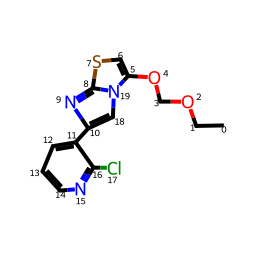 CCOCOc1csc2nc(-c3cccnc3Cl)cn12